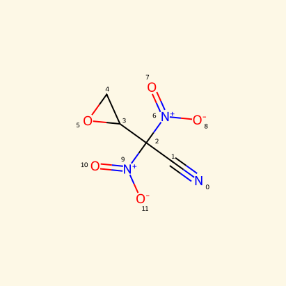 N#CC(C1CO1)([N+](=O)[O-])[N+](=O)[O-]